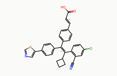 N#Cc1cc(Cl)ccc1/C(=C(\c1ccc(/C=C/C(=O)O)cc1)c1ccc(-c2cncs2)cc1)C1CCC1